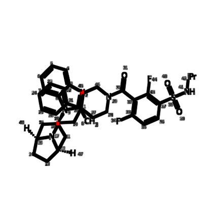 Cc1nc2ccccc2n1[C@H]1C[C@H]2CC[C@@H](C1)N2CCC1(c2ccccc2)CCN(C(=O)c2c(F)ccc(S(=O)(=O)NC(C)C)c2F)CC1